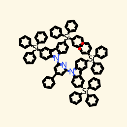 c1ccc(-c2cc(-n3c4ccc([Si](c5ccccc5)(c5ccccc5)c5ccccc5)cc4c4cc([Si](c5ccccc5)(c5ccccc5)c5ccccc5)ccc43)nc(-n3c4ccc([Si](c5ccccc5)(c5ccccc5)c5ccccc5)cc4c4cc([Si](c5ccccc5)(c5ccccc5)c5ccccc5)ccc43)c2)cc1